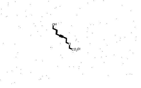 CCOC(=O)COCCC#C/C=C/CO